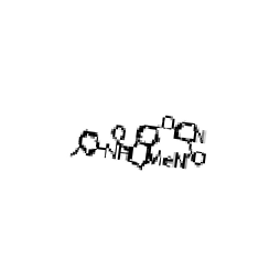 CNC(=O)c1cc(Oc2ccc3c(C(=O)Nc4cccc(C)c4)cccc3c2)ccn1